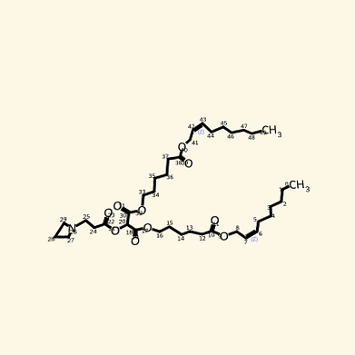 CCCCCC/C=C\COC(=O)CCCCCOC(=O)C(OC(=O)CCN1CCC1)C(=O)OCCCCCC(=O)OC/C=C\CCCCCC